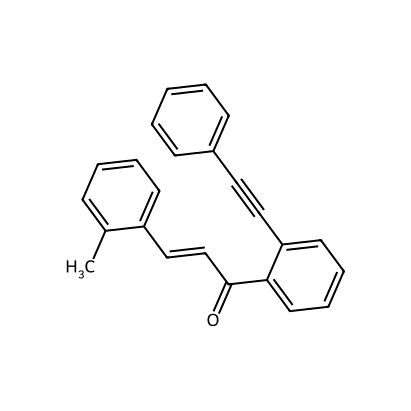 Cc1ccccc1/C=C/C(=O)c1ccccc1C#Cc1ccccc1